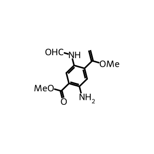 C=C(OC)c1cc(N)c(C(=O)OC)cc1NC=O